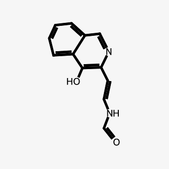 O=CNC=Cc1ncc2ccccc2c1O